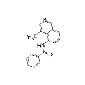 Cc1cncc2cccc(NC(=O)c3ccccc3)c12